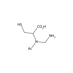 CC(=O)N(CN)C(CS)C(=O)O